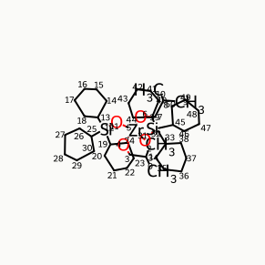 CC(C)C[O][Zr]([O]CC(C)C)([O][Si](C1CCCCC1)(C1CCCCC1)C1CCCCC1)[O][Si](C1CCCCC1)(C1CCCCC1)C1CCCCC1